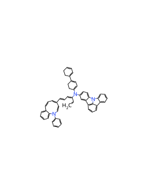 C=C/C(=C\C=C\c1cccc2ccccc2n(-c2ccccc2)cc1)N(C1=CC=C(C2=CC=CCC2)CC1)c1ccc2c(c1)c1cccc3c4ccccc4n2c31